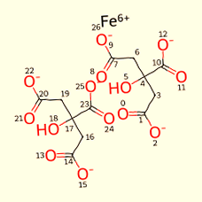 O=C([O-])CC(O)(CC(=O)[O-])C(=O)[O-].O=C([O-])CC(O)(CC(=O)[O-])C(=O)[O-].[Fe+6]